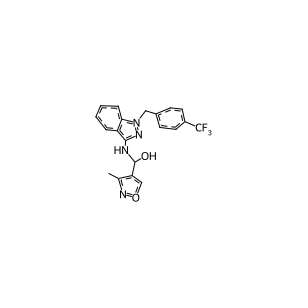 Cc1nocc1C(O)Nc1nn(Cc2ccc(C(F)(F)F)cc2)c2ccccc12